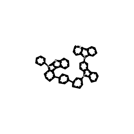 c1ccc(-n2c3cccc(-c4ccc(-c5cccc(-n6c7ccccc7c7cc(-n8c9ccccc9c9ccccc98)ccc76)c5)cc4)c3c3c4ccccc4oc32)cc1